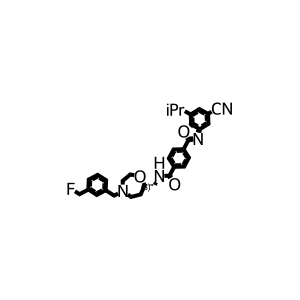 CC(C)c1cc(C#N)cc2nc(-c3ccc(C(=O)NC[C@@H]4CCN(Cc5cccc(CF)c5)CCO4)cc3)oc12